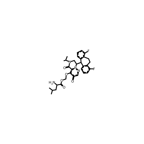 CC(C)CC(N)C(=O)OCOc1c2n(ncc1=O)C(C1c3cccc(F)c3CCc3c(F)cccc31)CN(C(C)C)C2=O